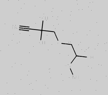 C#CC(C)(C)COCC(C)NN